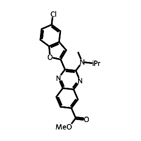 COC(=O)c1ccc2nc(-c3cc4cc(Cl)ccc4o3)c(N(C)C(C)C)nc2c1